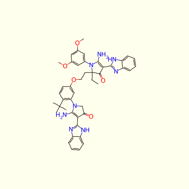 CCC1(CCOc2ccc(C(C)(C)C)c(N3CC(=O)C(c4nc5ccccc5[nH]4)=C3N)c2)C(=O)C(c2nc3ccccc3[nH]2)=C(N)N1c1cc(OC)cc(OC)c1